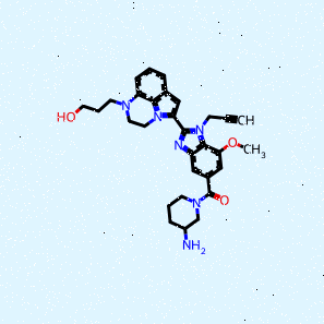 C#CCn1c(-c2cc3cccc4c3n2CCN4CCCO)nc2cc(C(=O)N3CCCC(N)C3)cc(OC)c21